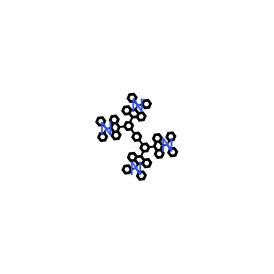 c1ccc(N(c2ccccc2)c2c3ccccc3c(-c3cc(-c4ccc(-c5cc(-c6c7ccccc7c(N(c7ccccc7)c7ccccc7)c7ccccc67)cc(-c6c7ccccc7c(N(c7ccccc7)c7ccccc7)c7ccccc67)c5)cc4)cc(-c4c5ccccc5c(N(c5ccccc5)c5ccccc5)c5ccccc45)c3)c3ccccc23)cc1